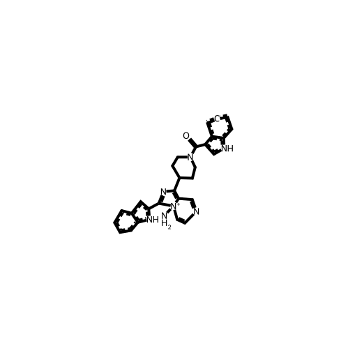 N[N+]12C=CN=CC1=C(C1CCN(C(=O)c3c[nH]c4ccccc34)CC1)N=C2c1cc2ccccc2[nH]1